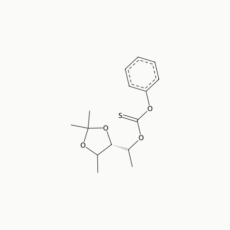 CC(OC(=S)Oc1ccccc1)[C@H]1OC(C)(C)OC1C